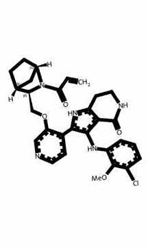 C=CC(=O)N1[C@H]2CC[C@H](C2)[C@@H]1COc1cnccc1-c1[nH]c2c(c1Nc1cccc(Cl)c1OC)C(=O)NCC2